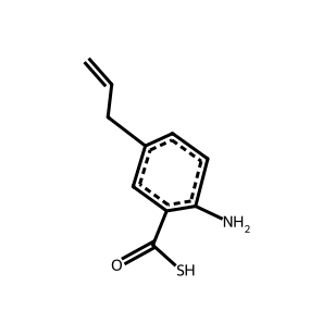 C=CCc1ccc(N)c(C(=O)S)c1